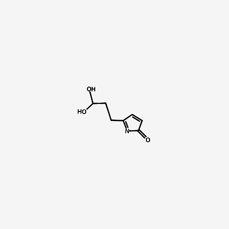 O=C1C=CC(CCC(O)O)=N1